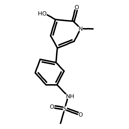 Cn1cc(-c2cccc(NS(C)(=O)=O)c2)cc(O)c1=O